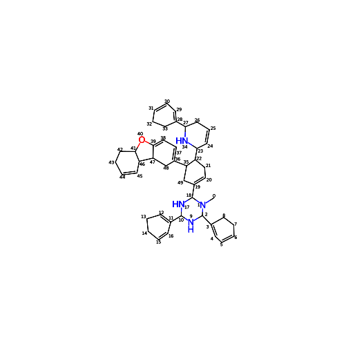 CN1C(C2=CC=CCC2)NC(C2=CCCC=C2)NC1C1=CCC(C2C=CCC(C3=CC=CCC3)N2)C(C2=CC=C3OC4CCC=CC4C3C2)C1